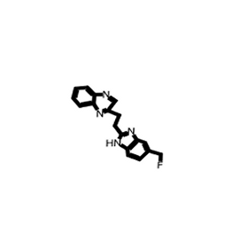 FCc1ccc2[nH]c(CCc3cnc4ccccc4n3)nc2c1